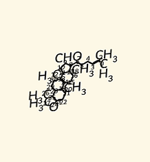 CC(C)=CCC[C@H](C=O)C1CC[C@@]2(C)C3=C(CC[C@]12C)[C@@]1(C)CCC(=O)C(C)(C)C1CC3